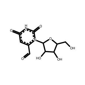 O=Cc1cc(=O)[nH]c(=O)n1C1OC(CO)C(O)C1O